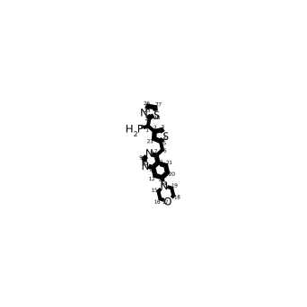 PC(c1csc(Cc2ncnc3cc(N4CCOCC4)ccc23)c1)c1nccs1